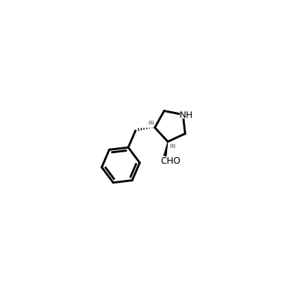 O=C[C@@H]1CNC[C@H]1Cc1ccccc1